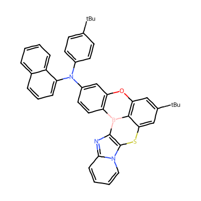 CC(C)(C)c1ccc(N(c2ccc3c(c2)Oc2cc(C(C)(C)C)cc4c2B3c2nc3ccccn3c2S4)c2cccc3ccccc23)cc1